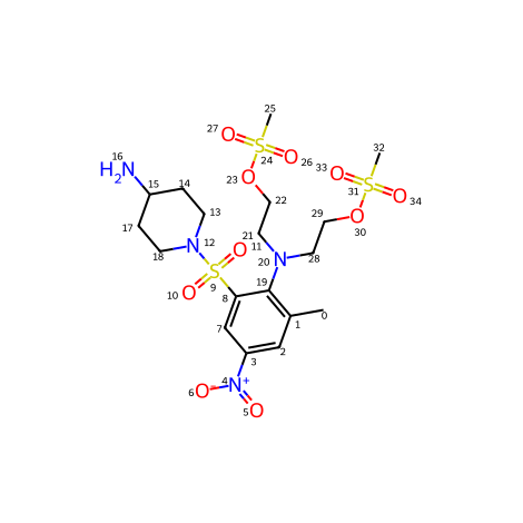 Cc1cc([N+](=O)[O-])cc(S(=O)(=O)N2CCC(N)CC2)c1N(CCOS(C)(=O)=O)CCOS(C)(=O)=O